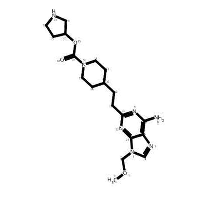 COCn1cnc2c(N)nc(CCC3CCN(C(=O)OC4CCNC4)CC3)nc21